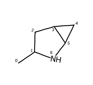 CC1CC2CC2N1